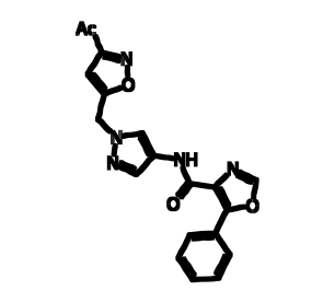 CC(=O)c1cc(Cn2cc(NC(=O)c3ncoc3-c3ccccc3)cn2)on1